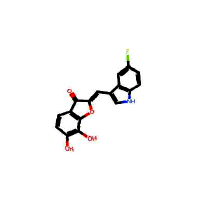 O=C1/C(=C/c2c[nH]c3ccc(F)cc23)Oc2c1ccc(O)c2O